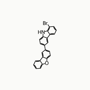 Brc1cccc2c1[nH]c1ccc(-c3ccc4oc5ccccc5c4c3)cc12